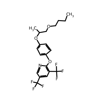 CCCCOCC(C)Oc1ccc(Oc2ncc(C(F)(F)F)cc2C(F)(F)F)cc1